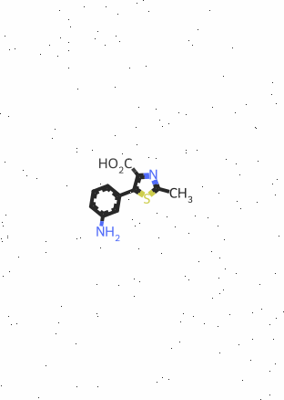 Cc1nc(C(=O)O)c(-c2cccc(N)c2)s1